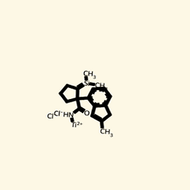 CC1=Cc2c(cccc2C2(C(=O)[NH][Ti+2])CCCC2=[Si](C)C)C1.[Cl-].[Cl-]